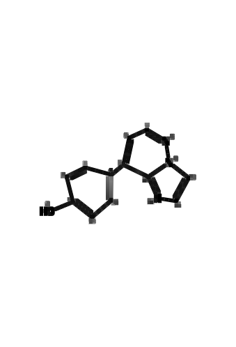 Oc1ccc(-c2ccnn3ccnc23)cc1